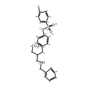 CCOC(=O)CC(CNCc1ccccc1)Cc1ccc(OS(=O)(=O)c2ccc(C)cc2)cc1